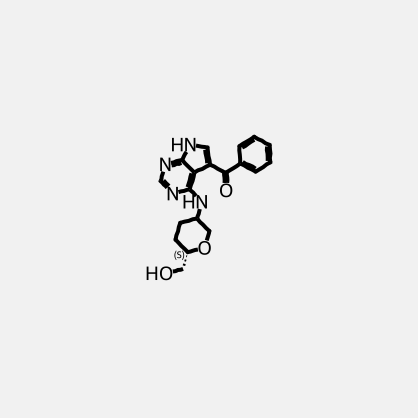 O=C(c1ccccc1)c1c[nH]c2ncnc(NC3CC[C@@H](CO)OC3)c12